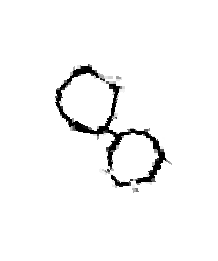 C1=C(C2=CCCCCCCCCC2)CCCCCCCC1